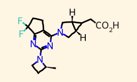 C[C@H]1CCN1c1nc(N2C[C@@H]3C(CC(=O)O)[C@@H]3C2)c2c(n1)C(F)(F)CC2